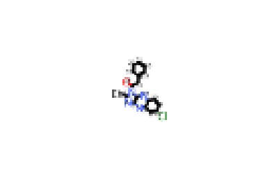 CCc1nc2nc3cc(Cl)ccc3nc2n1C(=O)Cc1ccccc1